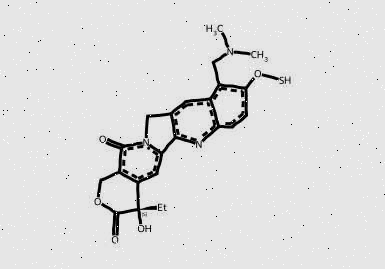 CC[C@@]1(O)C(=O)OCc2c1cc1n(c2=O)Cc2cc3c(CN(C)C)c(OS)ccc3nc2-1